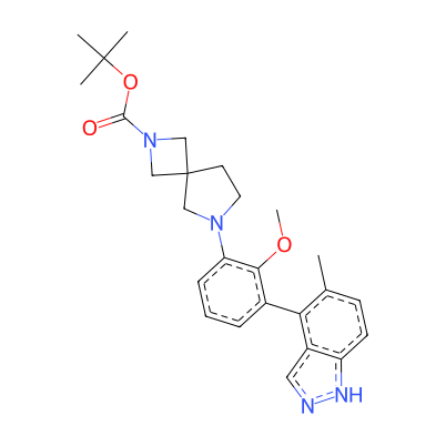 COc1c(-c2c(C)ccc3[nH]ncc23)cccc1N1CCC2(CN(C(=O)OC(C)(C)C)C2)C1